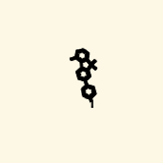 Cc1cccc2c1-c1ccc(-c3ccc(I)cc3)cc1C2(C)C